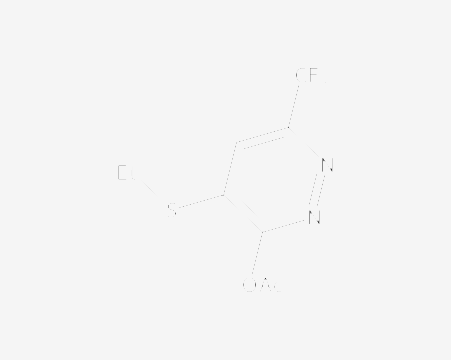 CCSc1cc(C(F)(F)F)nnc1OC(C)=O